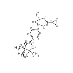 CC1(C)OB(c2ccc([C@]34C[C@H]3CN(C3CC3)C4)cc2)OC1(C)C